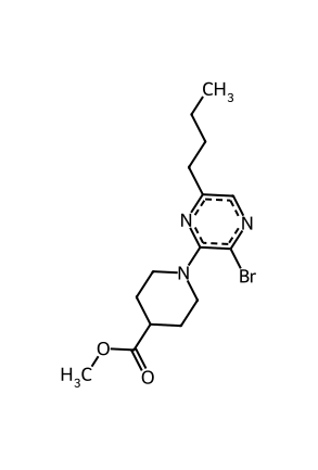 CCCCc1cnc(Br)c(N2CCC(C(=O)OC)CC2)n1